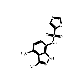 Cc1ccc(NS(=O)(=O)c2cncs2)c2[nH]nc(C#N)c12